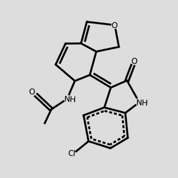 CC(=O)NC1C=CC2=COCC2C1=C1C(=O)Nc2ccc(Cl)cc21